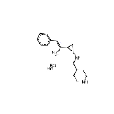 C/C(=C\c1ccccc1)C1CC1NCC1CCNCC1.Cl.Cl